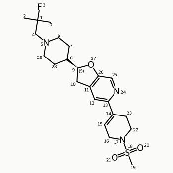 CC(C)(F)CN1CCC([C@@H]2Cc3cc(C4=CCN(S(C)(=O)=O)CC4)ncc3O2)CC1